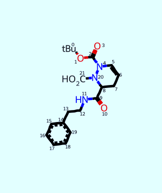 CC(C)(C)OC(=O)N1C=CCC(C(=O)NCCc2ccccc2)N1C(=O)O